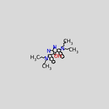 CCCCCN(CCCCC)c1ccc(C2=C(O)C(c3ccc(N(CCCCC)CCCCC)c4cc5ccccc5cc34)C2=C(C#N)C#N)c2cc3ccccc3cc12